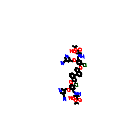 CC(C)OC(=O)C(C)(CO)NCc1cc(Cl)c(O[C@H]2CCc3c(-c4cccc5c4CC[C@@H]5Oc4cc(OCc5cncc(C#N)c5)c(CNC(C)(CO)C(=O)OC(C)C)cc4Cl)cccc32)cc1OCc1cncc(C#N)c1